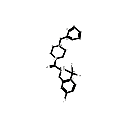 O=C(NCc1cc(Cl)ccc1C(F)(F)F)N1CCN(Cc2ccccc2)CC1